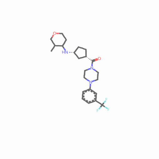 CC1COCCC1N[C@@H]1CC[C@H](C(=O)N2CCN(c3cccc(C(F)(F)F)c3)CC2)C1